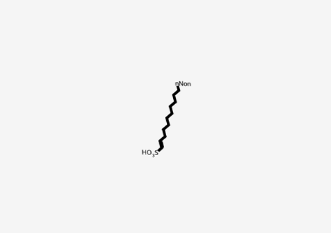 CCCCCCCCCCCCCCCCCCC=CS(=O)(=O)O